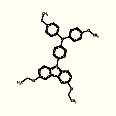 CCOc1ccc2c(c1)c1cc(OCC)ccc1n2-c1ccc(N(c2ccc(OC)cc2)c2ccc(OC)cc2)cc1